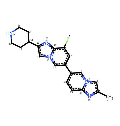 Cc1cn2cc(-c3cc(F)c4nc(C5CCNCC5)cn4c3)ccc2n1